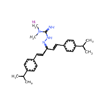 CC(C)c1ccc(/C=C/C(/C=C/c2ccc(C(C)C)cc2)=NNC(=N)N(C)C)cc1.I